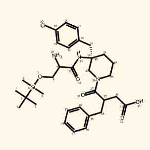 CC(C)(C)[Si](C)(C)OCC(N)C(=O)N[C@@]1(Cc2ccc(Cl)cc2)CCCN(C(=O)C(CC(=O)O)Cc2ccccc2)C1